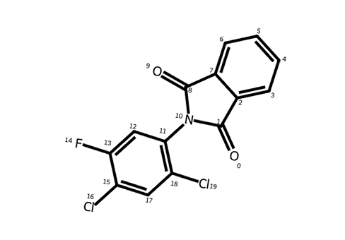 O=C1c2ccccc2C(=O)N1c1cc(F)c(Cl)cc1Cl